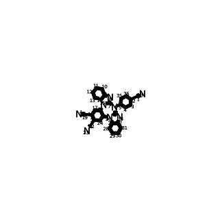 N#Cc1ccc(-n2c3nc4ccccc4n3c3cc(C#N)c(C#N)cc3n3c4ccccc4nc23)cc1